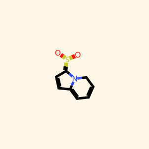 O=S(=O)=C1C=CC2=CC=CCN21